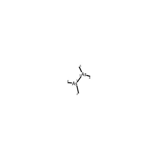 C[As](C)[As](C)C